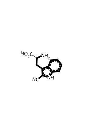 N#Cc1[nH]c2ccccc2c1C[C@@H](N)C(=O)O